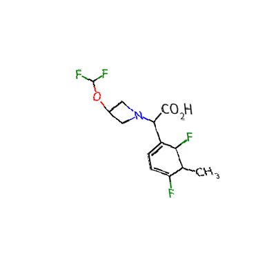 CC1C(F)=CC=C(C(C(=O)O)N2CC(OC(F)F)C2)C1F